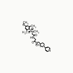 COc1cc(C)c(S(=O)(=O)N(C)CC(=O)NCC(=O)N(C)CC2CCN(c3ccncc3)CC2)c(C)c1